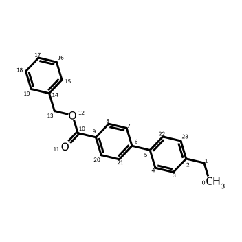 CCc1ccc(-c2ccc(C(=O)OCc3ccccc3)cc2)cc1